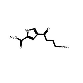 CCCCCCCCCCCCC(=O)c1c[nH]c(C(=O)OC)c1